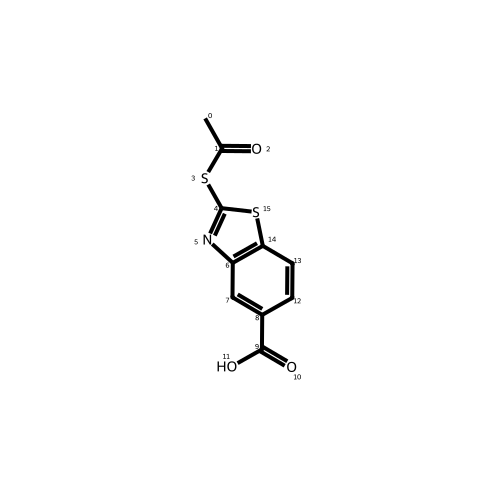 CC(=O)Sc1nc2cc(C(=O)O)ccc2s1